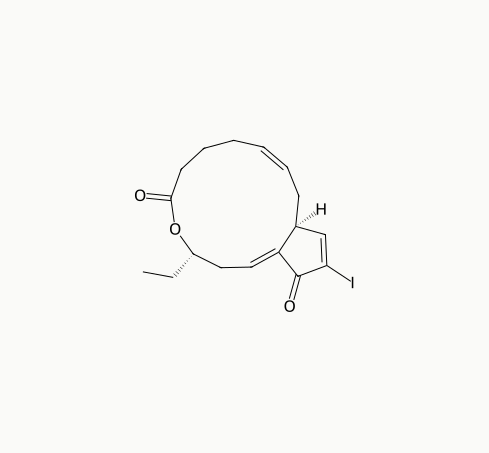 CC[C@H]1C/C=C2/C(=O)C(I)=C[C@@H]2C/C=C\CCCC(=O)O1